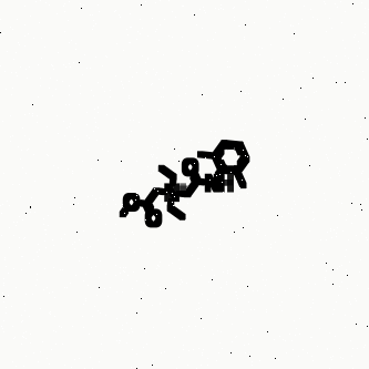 CC[N+](CC)(CC(=O)Nc1c(C)cccc1C)CC(=O)OC